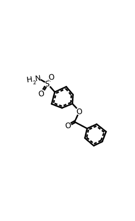 NS(=O)(=O)c1ccc(OC(=O)c2ccccc2)cc1